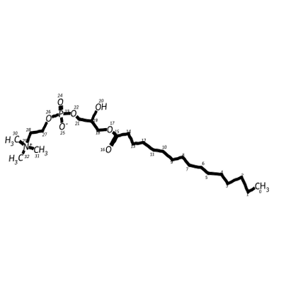 CCCCCCCCCCCCCCCC(=O)OCC(O)COP(=O)([O-])OCC[N+](C)(C)C